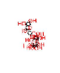 OC[C@@H]1O[C@@H](O[C@@H]2[C@@H](O)[C@H](O)[C@H](Oc3cc([C@H]4Oc5cc(O)cc(O)c5C[C@@H]4O)ccc3O)O[C@H]2CO)[C@@H](O)[C@H](O)[C@H]1O